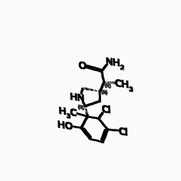 C[C@@H](C(N)=O)[C@H]1CN[C@@H](C2(C)C(O)=CC=C(Cl)C2Cl)C1